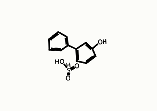 O=[SH](=O)O.Oc1cccc(-c2ccccc2)c1